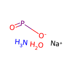 N.O.O=P[O-].[Na+]